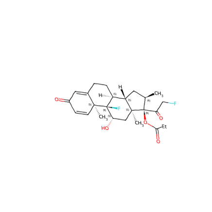 CCC(=O)O[C@]1(C(=O)CF)[C@H](C)C[C@H]2[C@@H]3CCC4=CC(=O)C=C[C@]4(C)[C@@]3(F)[C@@H](O)C[C@@]21C